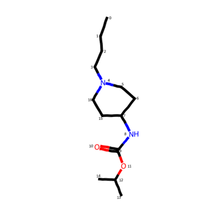 CCCCN1CCC(NC(=O)OC(C)C)CC1